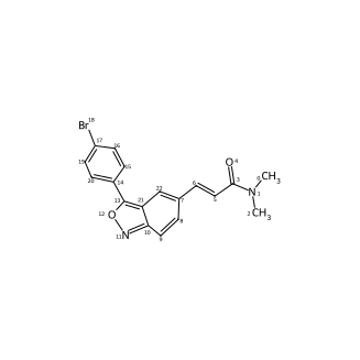 CN(C)C(=O)C=Cc1ccc2noc(-c3ccc(Br)cc3)c2c1